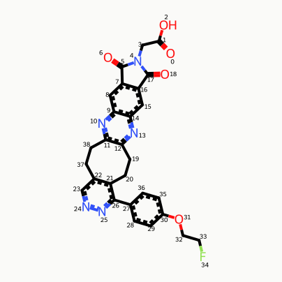 O=C(O)CN1C(=O)c2cc3nc4c(nc3cc2C1=O)CCc1c(cnnc1-c1ccc(OCCF)cc1)CC4